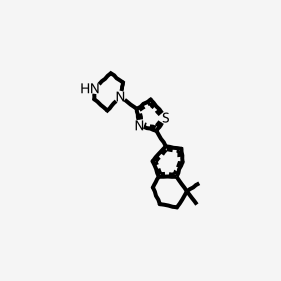 CC1(C)CCCc2cc(-c3nc(N4CCNCC4)cs3)ccc21